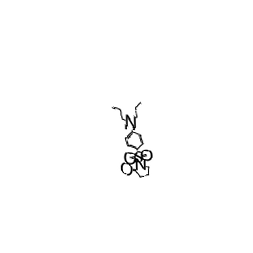 CCCN(CCC)c1ccc(S(=O)(=O)N2CCCC2=O)cc1